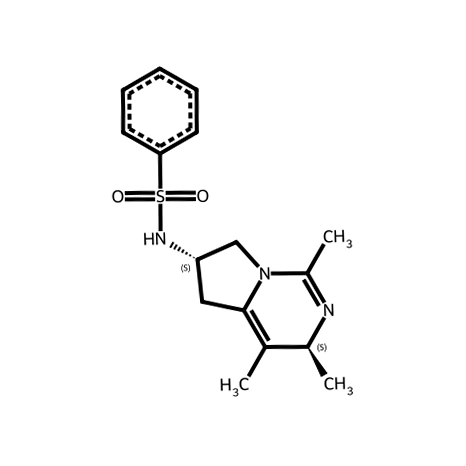 CC1=N[C@@H](C)C(C)=C2C[C@H](NS(=O)(=O)c3ccccc3)CN12